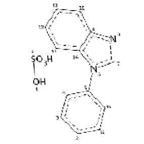 O=S(=O)(O)O.c1ccc(-n2cnc3ccccc32)cc1